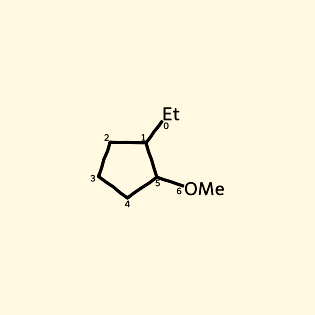 CCC1CCCC1OC